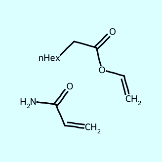 C=CC(N)=O.C=COC(=O)CCCCCCC